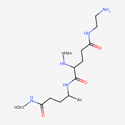 CCCCCCCCNC(=O)CCC(NC(=O)C(CCC(=O)NCCN)NCCCCCC)C(C)=O